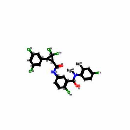 CN(c1ccc(F)cc1C#N)C(O)c1cc(NC(=O)C2C(c3cc(Cl)cc(Cl)c3)C2(Cl)Cl)ccc1Cl